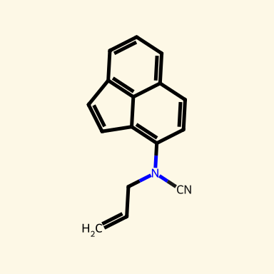 C=CCN(C#N)c1ccc2cccc3c2c1C=C3